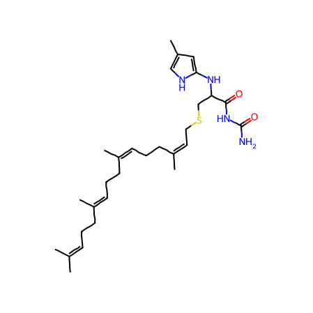 CC(C)=CCC/C(C)=C/CCC(C)=CCCC(C)=CCSCC(Nc1cc(C)c[nH]1)C(=O)NC(N)=O